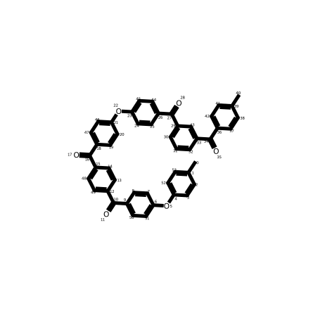 Cc1ccc(Oc2ccc(C(=O)c3ccc(C(=O)c4ccc(Oc5ccc(C(=O)c6cccc(C(=O)c7ccc(C)cc7)c6)cc5)cc4)cc3)cc2)cc1